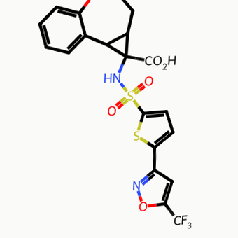 O=C(O)C1(NS(=O)(=O)c2ccc(-c3cc(C(F)(F)F)on3)s2)C2CCOc3ccccc3C21